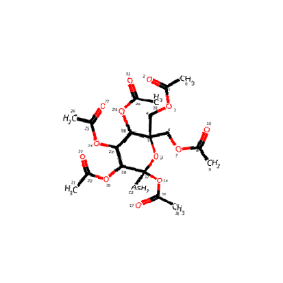 CC(=O)OCC1(COC(C)=O)OC([AsH2])(OC(C)=O)C(OC(C)=O)C(OC(C)=O)C1OC(C)=O